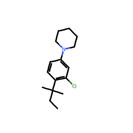 CCC(C)(C)c1ccc(N2CCCCC2)cc1Cl